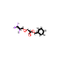 O=C(COCC(I)=C(I)I)OCc1ccccc1